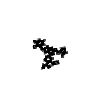 C=CC(=O)N1CCN(c2nc(OC[C@@H]3CCCN3C)nc3c2CN(Cc2cccc(F)c2Cl)C3)C[C@@H]1CC#N